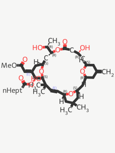 C=C1C[C@@H]2C[C@@H]3CC(C)(C)C[C@H](/C=C/C(C)(C)[C@]4(O)O[C@@H](C/C(=C\C(=O)OC)[C@@H]4OC(=O)CCCCCCC)C[C@H]([C@@H](C)O)OC(=O)C[C@H](O)C[C@H](C1)O2)O3